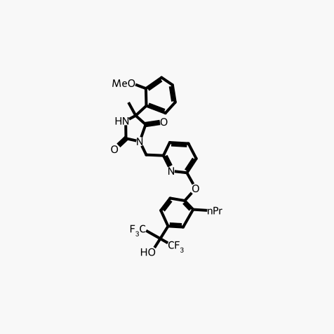 CCCc1cc(C(O)(C(F)(F)F)C(F)(F)F)ccc1Oc1cccc(CN2C(=O)NC(C)(c3ccccc3OC)C2=O)n1